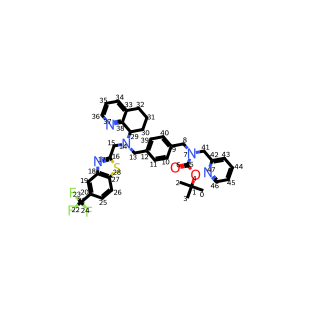 CC(C)(C)OC(=O)N(Cc1ccc(CN(Cc2nc3cc(C(F)(F)F)ccc3s2)C2CCCc3cccnc32)cc1)Cc1ccccn1